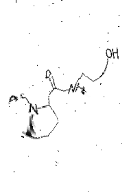 CC(=O)N1CCCC1C(=O)NCCO